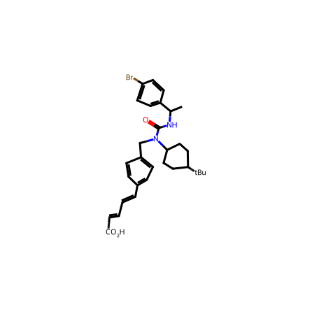 CC(NC(=O)N(Cc1ccc(C=CC=CC(=O)O)cc1)C1CCC(C(C)(C)C)CC1)c1ccc(Br)cc1